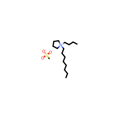 CCCCCCCC[N+]1(CCCC)CCCC1.CS(=O)(=O)[O-]